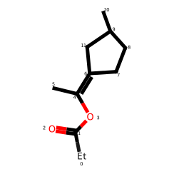 CCC(=O)O/C(C)=C1\CCC(C)C1